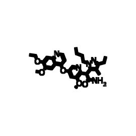 CCCCn1nc(CC)c(C)c1C(C(N)=O)c1ncc(Oc2ccnc3cc(OCC)c(OC)cc23)cc1OC